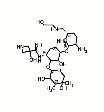 C[C@@H]1C(O)[C@@H](OC2C(O)C(O[C@H]3O[C@H](CNCCO)CCC3N)[C@@H](N)C[C@H]2NC(=N)C2(O)CNC2)OCC1(C)O